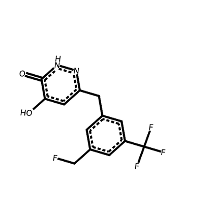 O=c1[nH]nc(Cc2cc(CF)cc(C(F)(F)F)c2)cc1O